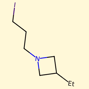 CCC1CN(CCCI)C1